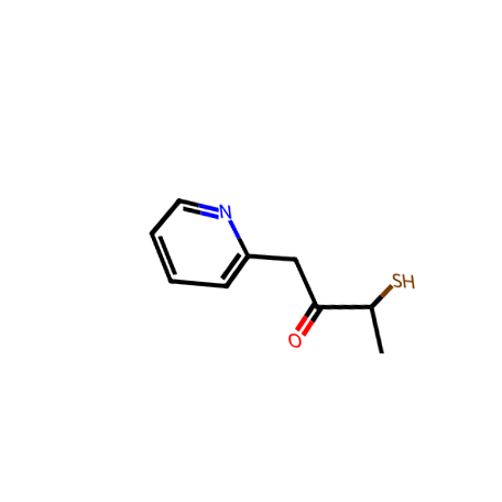 CC(S)C(=O)Cc1ccccn1